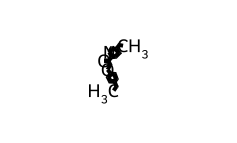 CCc1ccc(OCC(=O)c2ccc(CC)cn2)cc1